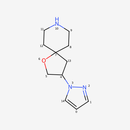 c1cnn(C2COC3(CCNCC3)C2)c1